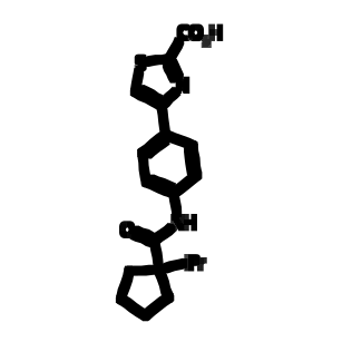 CC(C)C1(C(=O)Nc2ccc(-c3csc(C(=O)O)n3)cc2)CCCC1